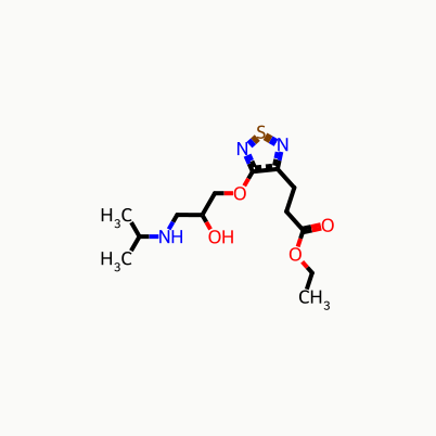 CCOC(=O)CCc1nsnc1OCC(O)CNC(C)C